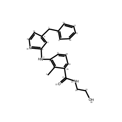 Cc1c(Nc2cc(Cc3ccccc3)ccn2)cccc1C(=O)NCCO